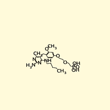 CCCCCNc1nc(N)nc(C)c1Cc1ccc(OCCOCCP(=O)(O)O)cc1OC